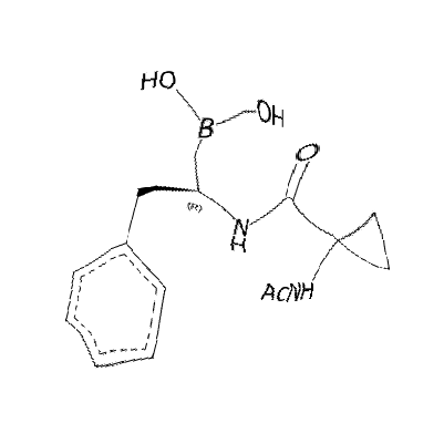 CC(=O)NC1(C(=O)N[C@@H](Cc2ccccc2)B(O)O)CC1